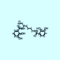 NC[C@@H](CCCCNC(=O)c1cccc(O)c1O)NC(=O)c1cccc(O)c1O